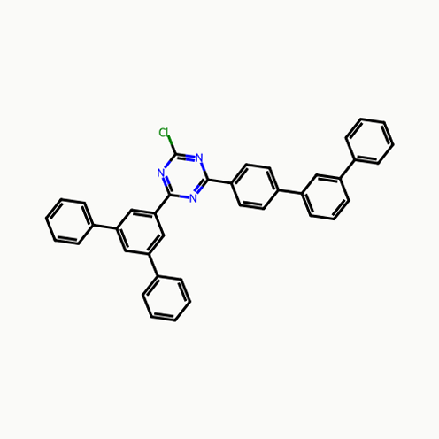 Clc1nc(-c2ccc(-c3cccc(-c4ccccc4)c3)cc2)nc(-c2cc(-c3ccccc3)cc(-c3ccccc3)c2)n1